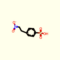 O=[N+]([O-])CCc1ccc(S(=O)(=O)O)cc1